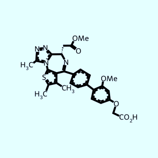 COC(=O)C[C@@H]1N=C(c2ccc(-c3ccc(OCC(=O)O)cc3OC)cc2)c2c(sc(C)c2C)-n2c(C)nnc21